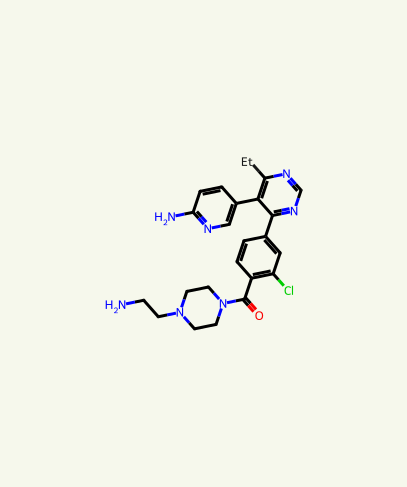 CCc1ncnc(-c2ccc(C(=O)N3CCN(CCN)CC3)c(Cl)c2)c1-c1ccc(N)nc1